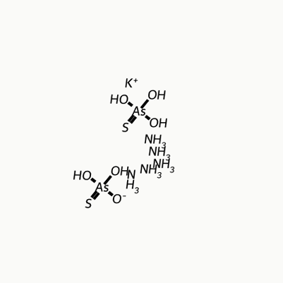 N.N.N.N.N.O[As](O)(O)=S.[K+].[O-][As](O)(O)=S